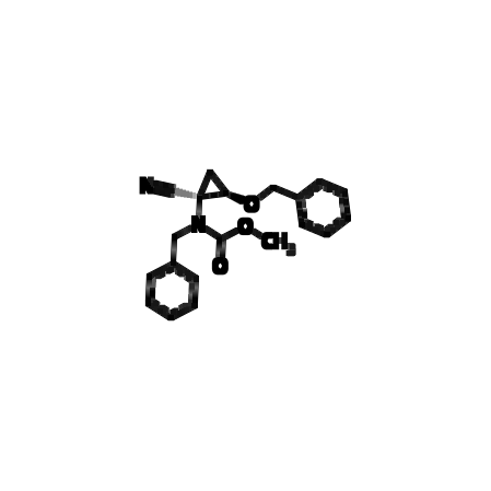 COC(=O)N(Cc1ccccc1)[C@@]1(C#N)C[C@H]1OCc1ccccc1